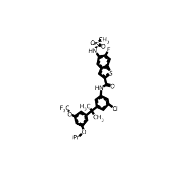 CC(C)Oc1cc(OC(F)(F)F)cc(C(C)(C)c2cc(Cl)cc(NC(=O)c3cc4cc(NS(C)(=O)=O)c(F)cc4s3)c2)c1